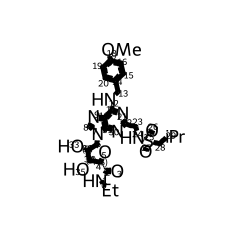 CCNC(=O)[C@H]1OC(n2cnc3c(NCc4ccc(OC)cc4)nc(CNS(=O)(=O)CC(C)C)nc32)[C@H](O)[C@@H]1O